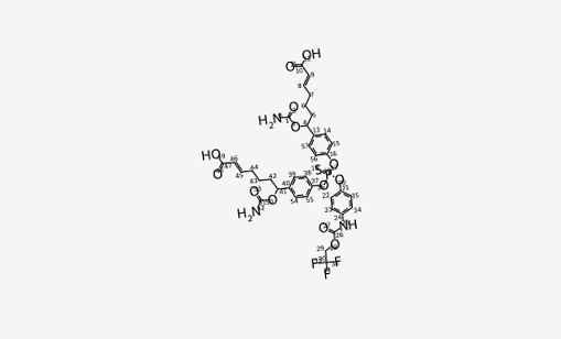 NC(=O)OC(CCCC=CC(=O)O)c1ccc(OP(=S)(Oc2ccc(NC(=O)OCC(F)(F)F)cc2)Oc2ccc(C(CCCC=CC(=O)O)OC(N)=O)cc2)cc1